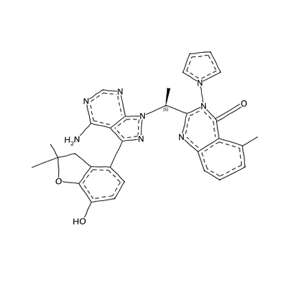 Cc1cccc2nc([C@H](C)n3nc(-c4ccc(O)c5c4CC(C)(C)O5)c4c(N)ncnc43)n(-n3cccc3)c(=O)c12